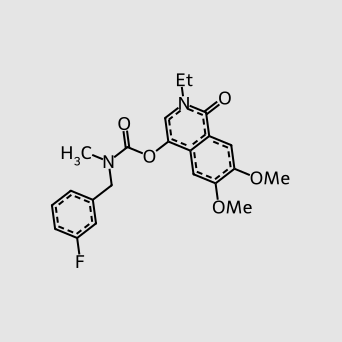 CCn1cc(OC(=O)N(C)Cc2cccc(F)c2)c2cc(OC)c(OC)cc2c1=O